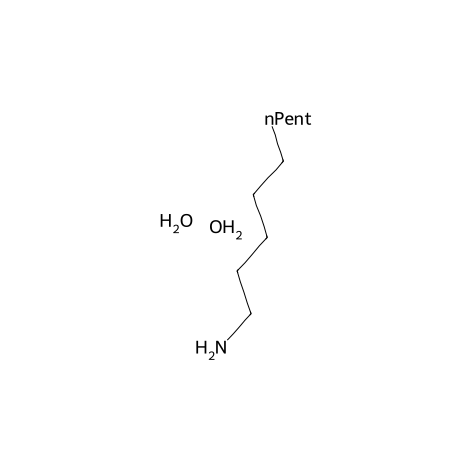 CCCCCCCCCCN.O.O